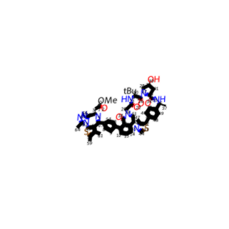 COC(=O)C[C@@H]1N=C(c2ccc(-c3cccc4c3C(=O)N(CC(=O)N[C@H](C(=O)N3C[C@H](O)C[C@H]3C(=O)N[C@@H](C)c3ccc(-c5scnc5C)cc3)C(C)(C)C)CC4)cc2)c2c(sc(C)c2C)-n2c(C)nnc21